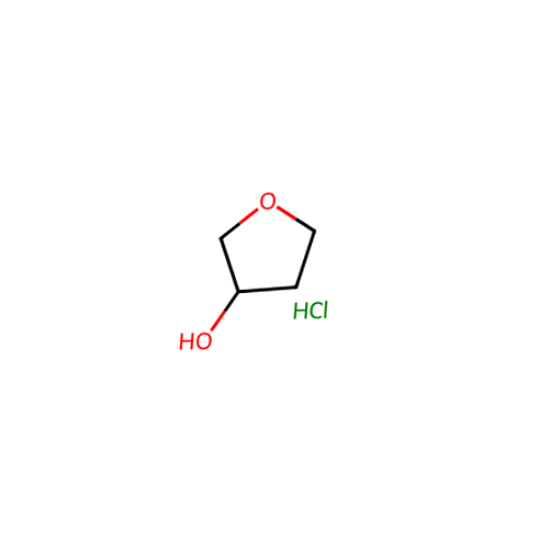 Cl.OC1CCOC1